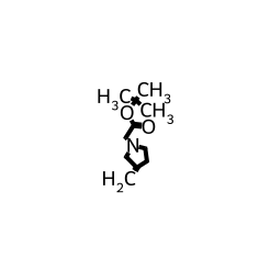 C=C1CCN(CC(=O)OC(C)(C)C)C1